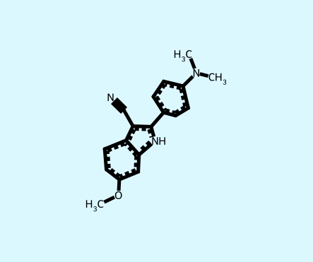 COc1ccc2c(C#N)c(-c3ccc(N(C)C)cc3)[nH]c2c1